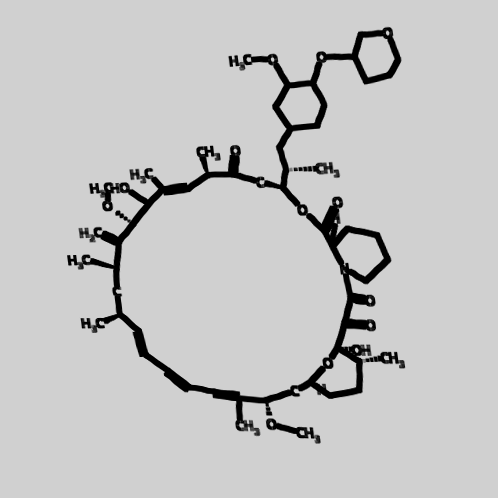 C=C1[C@H](C)C[C@H](C)/C=C/C=C/C=C(\C)[C@@H](OC)C[C@@H]2CC[C@@H](C)[C@@](O)(O2)C(=O)C(=O)N2CCCC[C@H]2C(=O)O[C@H]([C@@H](C)CC2CCC(OC3CCCOC3)C(OC)C2)CC(=O)[C@H](C)/C=C(\C)C(O)[C@H]1OC